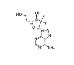 Nc1ncnc2c1nnn2[C@@H]1O[C@H](CCO)[C@@H](O)C1(F)F